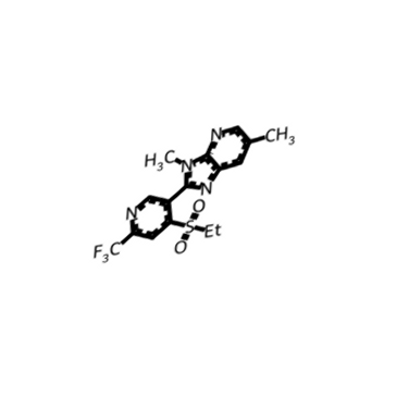 CCS(=O)(=O)c1cc(C(F)(F)F)ncc1-c1nc2cc(C)cnc2n1C